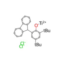 CC(C)(C)c1cc(C2c3ccccc3-c3ccccc32)c([O][Ti+2])c(C(C)(C)C)c1.[Cl-].[Cl-]